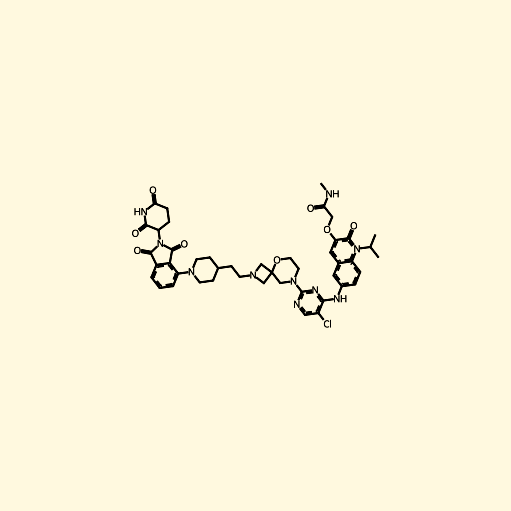 CNC(=O)COc1cc2cc(Nc3nc(N4CCOC5(CN(CCC6CCN(c7cccc8c7C(=O)N(C7CCC(=O)NC7=O)C8=O)CC6)C5)C4)ncc3Cl)ccc2n(C(C)C)c1=O